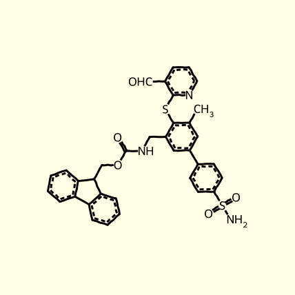 Cc1cc(-c2ccc(S(N)(=O)=O)cc2)cc(CNC(=O)OCC2c3ccccc3-c3ccccc32)c1Sc1ncccc1C=O